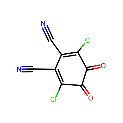 N#CC1=C(Cl)C(=O)C(=O)C(Cl)=C1C#N